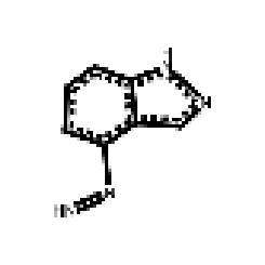 N=Nc1cccc2[nH]ncc12